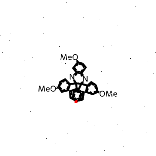 COc1ccc(C2(c3ccccc3)N=c3ccc(OC)cc3=NC2(c2ccccc2)c2ccc(OC)cc2)cc1